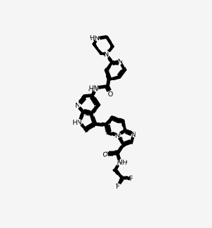 O=C(Nc1cnc2[nH]cc(-c3ccc4ncc(C(=O)NCC(F)F)n4c3)c2c1)c1ccnc(N2CCNCC2)c1